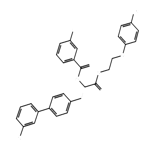 COc1ccc(NCCNC(=O)[C@H](Cc2ccc(-c3cccc(N)c3)cc2)NC(=O)c2cccc(C)c2)cc1